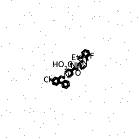 CCOc1cccc(F)c1CN1CCN(C(=O)[C@H](NC(=O)O)C2CCN(CCc3cc(Cl)ccc3-c3ccccc3)CC2)CC1